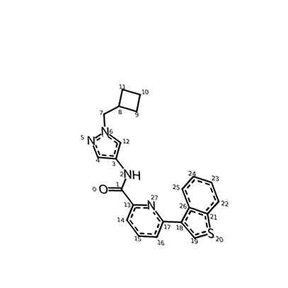 O=C(Nc1cnn(CC2CCC2)c1)c1cccc(-c2csc3ccccc23)n1